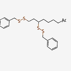 CC(=O)CCCCC(CCSSCc1ccccc1)SSCc1ccccc1